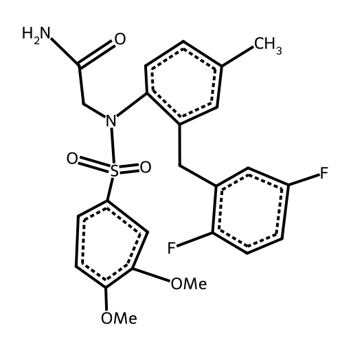 COc1ccc(S(=O)(=O)N(CC(N)=O)c2ccc(C)cc2Cc2cc(F)ccc2F)cc1OC